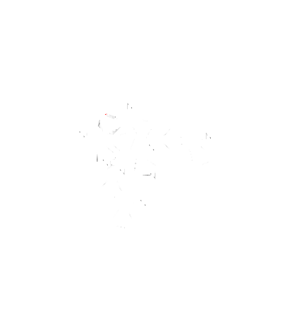 N#Cc1ccccc1-c1ccc2c3ccc(-c4ccccc4C#N)cc3n(-c3cncc(-n4c5cc(-c6ccccc6C#N)ccc5c5ccc(-c6ccccc6C#N)cc54)c3-c3ccccc3C#N)c2c1